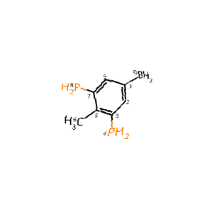 Bc1cc(P)c(C)c(P)c1